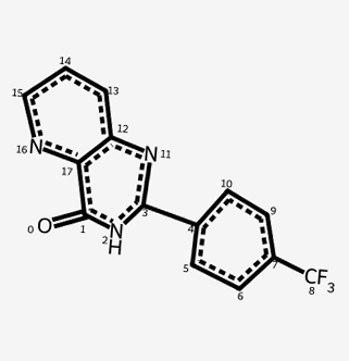 O=c1[nH]c(-c2ccc(C(F)(F)F)cc2)nc2cccnc12